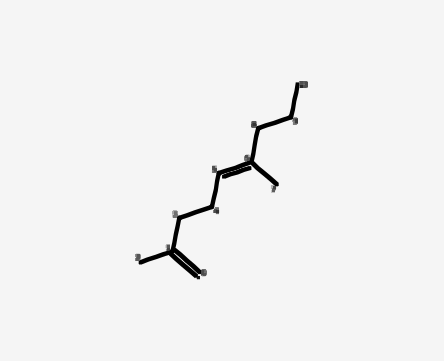 [CH]=C(C)CC/C=C(\C)CCC